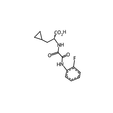 O=C(Nc1ccccc1F)C(=O)N[C@@H](CC1CC1)C(=O)O